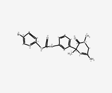 CN1CC(N)=NC(C)(c2cccc(NC(=O)Oc3ccc(Br)cn3)c2)C1=O